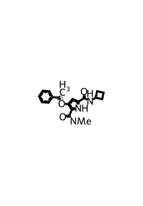 CNC(=O)c1[nH]c(C(=O)NC2CCC2)cc1O[C@@H](C)c1ccccc1